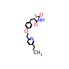 CCCc1ccc(CCOc2ccc(CC3SC(=O)NC3=O)cc2)nc1